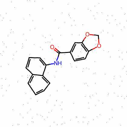 O=C(Nc1cccc2ccccc12)c1ccc2c(c1)OCO2